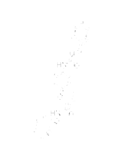 O=C(Nc1ccc2c(c1)CCC(C(=O)NOC1CCCCO1)O2)OCc1ccccc1